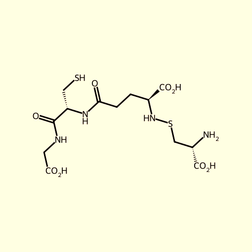 N[C@@H](CSN[C@@H](CCC(=O)N[C@@H](CS)C(=O)NCC(=O)O)C(=O)O)C(=O)O